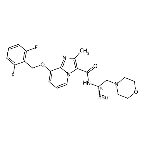 CCCC[C@H](CN1CCOCC1)NC(=O)c1c(C)nc2c(OCc3c(F)cccc3F)cccn12